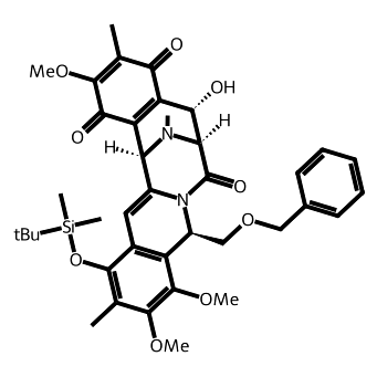 COC1=C(C)C(=O)C2=C(C1=O)[C@@H]1C3=Cc4c(O[Si](C)(C)C(C)(C)C)c(C)c(OC)c(OC)c4[C@H](COCc4ccccc4)N3C(=O)[C@H]([C@H]2O)N1C